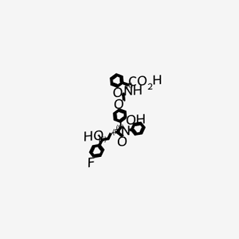 O=C(COc1ccc([C@@H]2[C@@H](CC[C@H](O)c3ccc(F)cc3)C(=O)N2c2ccccc2)c(O)c1)N[C@@H](C(=O)O)c1ccccc1